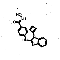 O=C(NO)c1ccc(Nc2nc3ccccc3n2C2=CC=C2)cc1